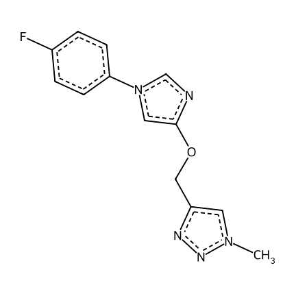 Cn1cc(COc2cn(-c3ccc(F)cc3)cn2)nn1